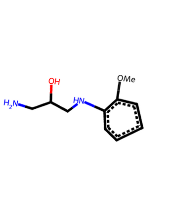 COc1ccccc1NCC(O)CN